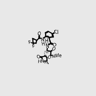 CNC(=O)C(=O)[C@H](C[C@@H]1C[C@@H](C)NC1=O)NC(=O)c1cc(Cl)ccc1NC(=O)C1CC(F)(F)C1